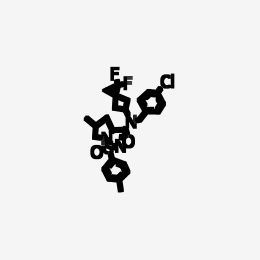 CN=S(=O)(c1ccc(C)cc1)N1CC(C)CC1C(=O)N(Cc1ccc(Cl)cc1)C1CC2(C1)CC2(F)F